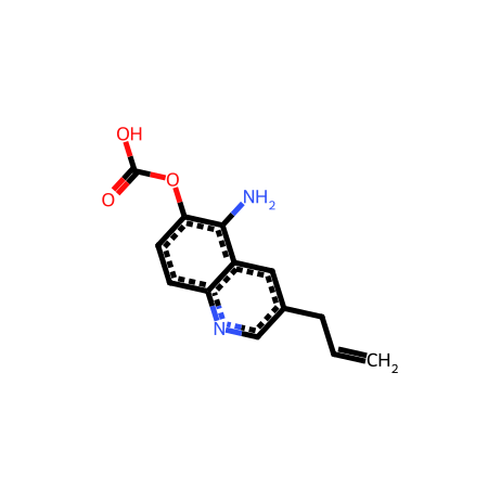 C=CCc1cnc2ccc(OC(=O)O)c(N)c2c1